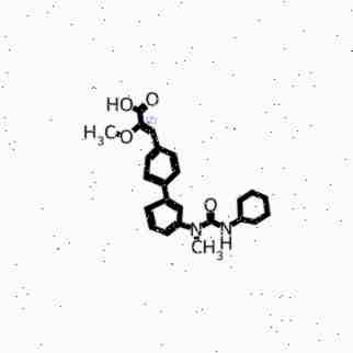 CO/C(=C\c1ccc(-c2cccc(N(C)C(=O)NC3CCCCC3)c2)cc1)C(=O)O